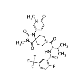 CC(C)C(NC(=O)c1cc(C(F)(F)F)ccc1F)C(=O)N1CCC2(CC1)C(=O)N(C)C(=O)N2c1ccc(=O)n(C)c1